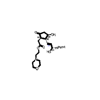 CCCCC[C@H](O)/C=C/[C@H]1[C@H](O)CC(=O)[C@@H]1CC(=O)OCCN1CCOCC1